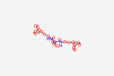 CC(=O)CCC(CCC(=O)NCCOCCOCCOC1OC(COC(C)=O)CC(OC(C)=O)C1C)(CCC(=O)NCCOCCOCCOC1OC(COC(C)=O)C(OC(C)=O)C(C)C1C)[N+](=O)[O-]